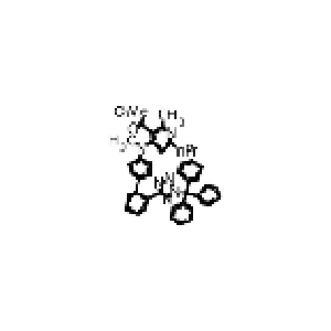 CCCc1cc(N(C)c2ccc(-c3ccccc3-c3nnn(C(c4ccccc4)(c4ccccc4)c4ccccc4)n3)cc2)c(C(=O)OC)c(C)n1